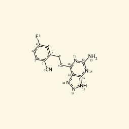 N#Cc1ccc(F)cc1CSc1nc(N)nc2[nH]nnc12